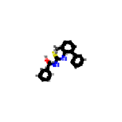 Cc1cccc(-c2ccccc2)c1NC(=S)NC(=O)c1ccccc1